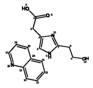 O=C(O)Cc1c[nH]c(CCO)n1.c1ccc2ncccc2c1